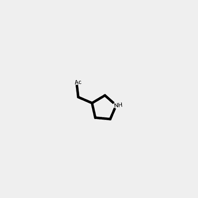 CC(=O)CC1CCNC1